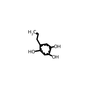 C=CCc1cc(O)c(O)cc1O